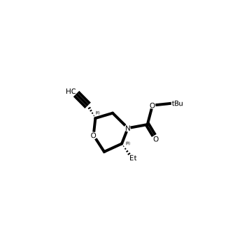 C#C[C@@H]1CN(C(=O)OC(C)(C)C)[C@H](CC)CO1